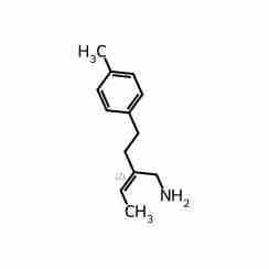 C/C=C(\CN)CCc1ccc(C)cc1